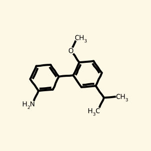 COc1ccc(C(C)C)cc1-c1cccc(N)c1